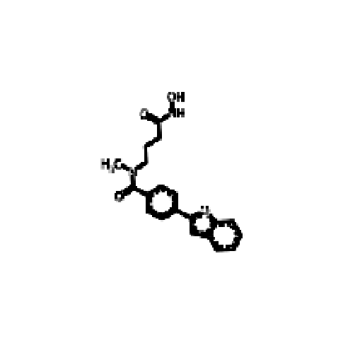 CN(CCCC(=O)NO)C(=O)c1ccc(-c2cc3ccccc3o2)cc1